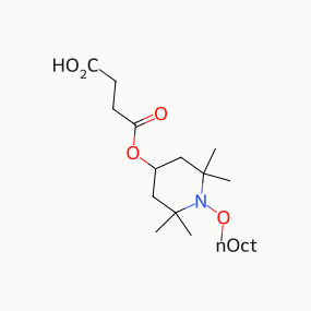 CCCCCCCCON1C(C)(C)CC(OC(=O)CCC(=O)O)CC1(C)C